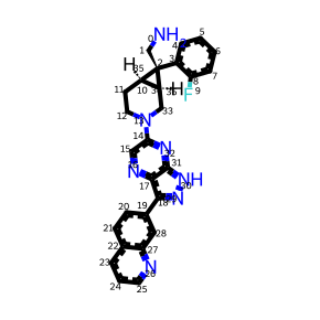 NC[C@]1(c2ccccc2F)[C@@H]2CCN(c3cnc4c(-c5ccc6cccnc6c5)n[nH]c4n3)C[C@@H]21